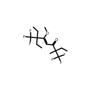 CCC(C)(C(=O)/C=C(\OC)C(CC)(CC)C(F)(F)F)C(F)(F)F